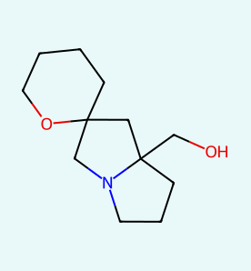 OCC12CCCN1CC1(CCCCO1)C2